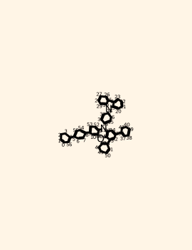 C1=CCCC(c2ccc(-c3ccc(N(C4=CCC(n5c6ccccc6c6ccccc65)C=C4)c4cc(C5=CC=CCC5)cc5c6c(oc45)CCC=C6)cc3)cc2)=C1